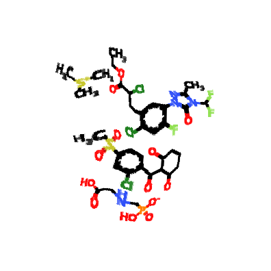 CCOC(=O)C(Cl)Cc1cc(-n2nc(C)n(C(F)F)c2=O)c(F)cc1Cl.CS(=O)(=O)c1ccc(C(=O)C2C(=O)CCCC2=O)c(Cl)c1.C[S+](C)C.O=C(O)CNCP(=O)([O-])O